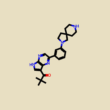 CC(C)(C)C(=O)c1c[nH]c2ncc(-c3cccc(N4CCC5(CCNCC5)C4)c3)nc12